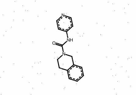 O=C(Nc1ccncc1)N1CCc2ccccc2C1